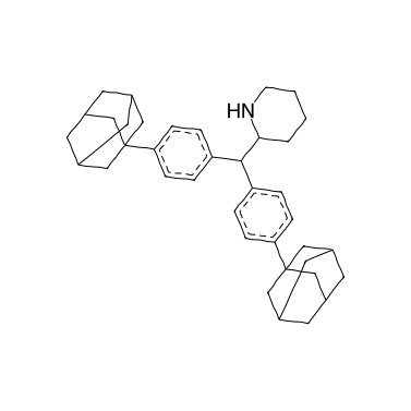 c1cc(C23CC4CC(CC(C4)C2)C3)ccc1C(c1ccc(C23CC4CC(CC(C4)C2)C3)cc1)C1CCCCN1